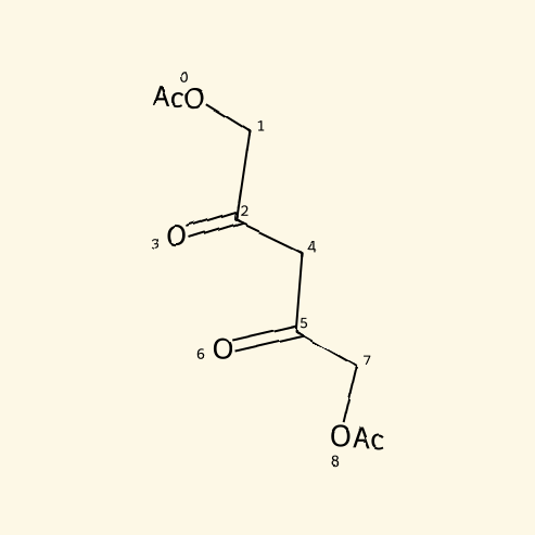 CC(=O)OCC(=O)CC(=O)COC(C)=O